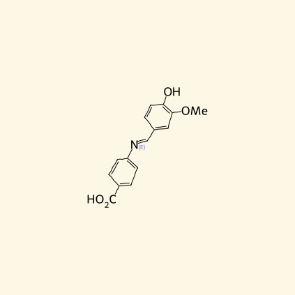 COc1cc(/C=N/c2ccc(C(=O)O)cc2)ccc1O